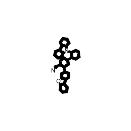 N#Cc1ccc(-c2ccccc2-n2c3ccccc3c3ccccc32)cc1-c1ccc2c(c1)oc1ccccc12